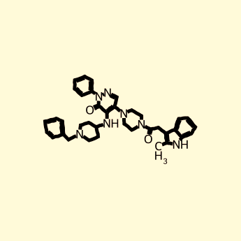 Cc1[nH]c2ccccc2c1CC(=O)N1CCN(c2cnn(-c3ccccc3)c(=O)c2NC2CCN(Cc3ccccc3)CC2)CC1